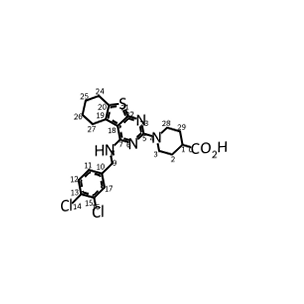 O=C(O)C1CCN(c2nc(NCc3ccc(Cl)c(Cl)c3)c3c4c(sc3n2)CCCC4)CC1